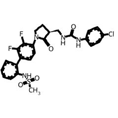 CS(=O)(=O)Nc1ccccc1-c1ccc(N2CC[C@@H](CNC(=O)Nc3ccc(Cl)cc3)C2=O)c(F)c1F